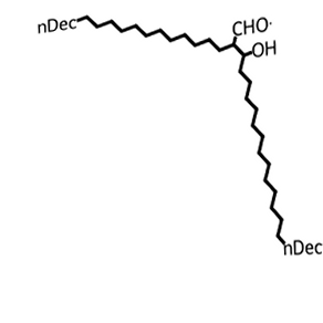 CCCCCCCCCCCCCCCCCCCCCCCC(O)C([C]=O)CCCCCCCCCCCCCCCCCCCCCC